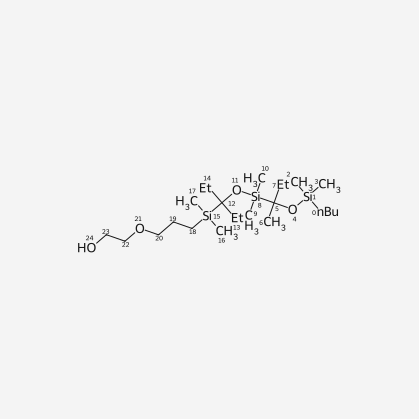 CCCC[Si](C)(C)OC(C)(CC)[Si](C)(C)OC(CC)(CC)[Si](C)(C)CCCOCCO